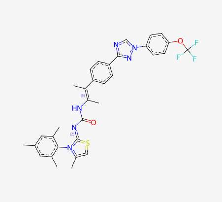 C/C(NC(=O)/N=c1\scc(C)n1-c1c(C)cc(C)cc1C)=C(/C)c1ccc(-c2ncn(-c3ccc(OC(F)(F)F)cc3)n2)cc1